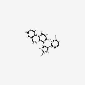 Cc1cccc(-c2nc(C)oc2-c2ccnc(-c3ccccc3N)c2)n1